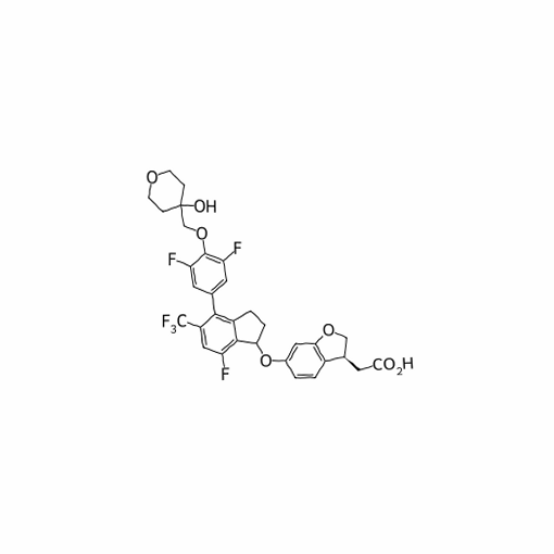 O=C(O)C[C@@H]1COc2cc(OC3CCc4c(-c5cc(F)c(OCC6(O)CCOCC6)c(F)c5)c(C(F)(F)F)cc(F)c43)ccc21